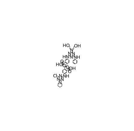 O=S(=O)(O)c1cc(Nc2nc(Cl)nc(N3CCCCC3)n2)ccc1/C=C/c1ccc(Nc2nc(Nc3ccccc3)nc(N(CCO)CCO)n2)cc1S(=O)(=O)O